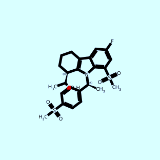 CC(C(=O)O)[C@H]1CCCc2c1n([C@@H](C)c1ccc(S(C)(=O)=O)cc1)c1c(S(C)(=O)=O)cc(F)cc21